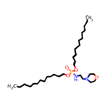 CCCCCCCCCCCCCOP(=O)(NCCN1CCOCC1)OCCCCCCCCCCCCC